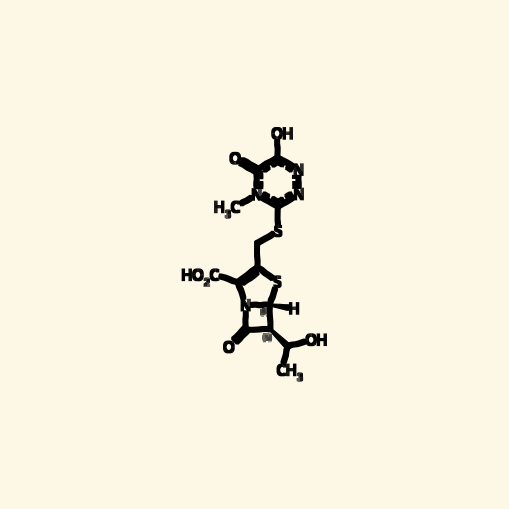 CC(O)[C@H]1C(=O)N2C(C(=O)O)=C(CSc3nnc(O)c(=O)n3C)S[C@H]12